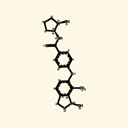 Cc1c(Oc2cnc(C(=O)N[C@H]3CCC[C@H]3O)cn2)ccc2c1B(O)OC2